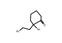 CC(=O)CCC1(C(C)=O)CCCCC1=O